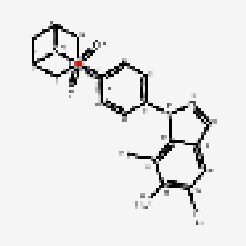 CS(=O)(=O)N1C2CC1CN(c1ccc(-n3ncc4cc(F)c(O)c(F)c43)cc1)C2